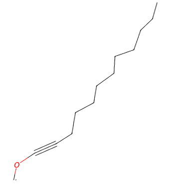 [CH2]OC#CCCCCCCCCCC